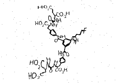 O=C(O)CC[C@H](NC(=O)N[C@@H](Cc1ccc(NC(=O)c2cc(C(=O)Nc3ccc(C[C@H](NC(=O)N[C@@H](CCC(=O)O)C(=O)O)C(=O)O)cc3)cc(-n3cc(CCCF)nn3)c2)cc1)C(=O)O)C(=O)O